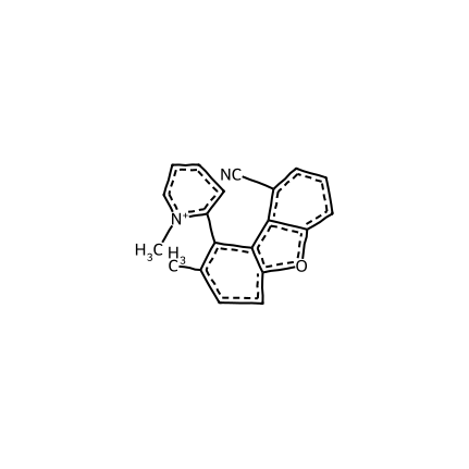 Cc1ccc2oc3cccc(C#N)c3c2c1-c1cccc[n+]1C